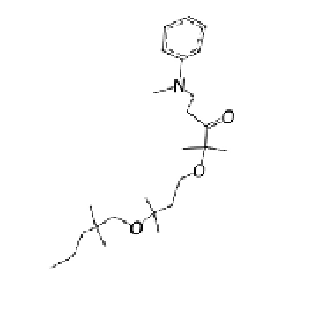 CCCC(C)(C)COC(C)(C)CCOC(C)(C)C(=O)CCN(C)c1ccccc1